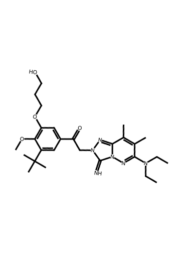 CCN(CC)c1nn2c(=N)n(CC(=O)c3cc(OCCCO)c(OC)c(C(C)(C)C)c3)nc2c(C)c1C